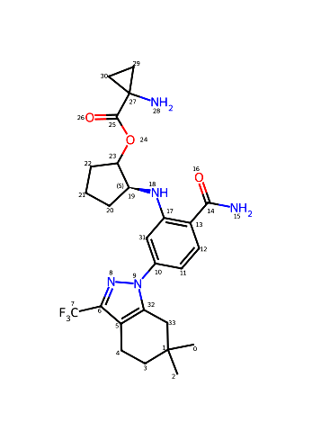 CC1(C)CCc2c(C(F)(F)F)nn(-c3ccc(C(N)=O)c(N[C@H]4CCCC4OC(=O)C4(N)CC4)c3)c2C1